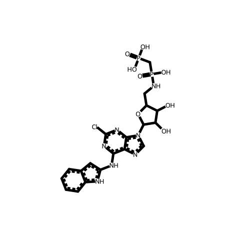 O=P(O)(O)CP(=O)(O)NCC1OC(n2cnc3c(Nc4cc5ccccc5[nH]4)nc(Cl)nc32)C(O)C1O